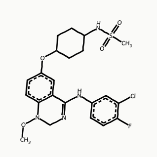 CON1CN=C(Nc2ccc(F)c(Cl)c2)c2cc(OC3CCC(NS(C)(=O)=O)CC3)ccc21